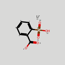 O=C([O-])c1ccccc1S(=O)(=O)O.[Li+]